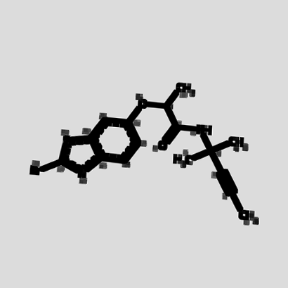 CC#CC(C)(C)NC(=O)C(C)Oc1ccc2nc(Br)sc2c1